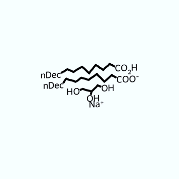 CCCCCCCCCCCCCCCCCC(=O)O.CCCCCCCCCCCCCCCCCC(=O)[O-].OCC(O)CO.[Na+]